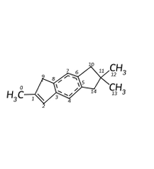 CC1=Cc2cc3c(cc2[CH]1)CC(C)(C)C3